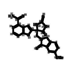 COc1ccc2c(c1)C(=O)N(C[C@@]1(c3cc4c(C(N)=O)nccc4o3)NC(=O)NC1=O)C2